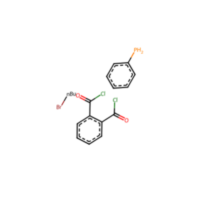 CCCCBr.O=C(Cl)c1ccccc1C(=O)Cl.Pc1ccccc1